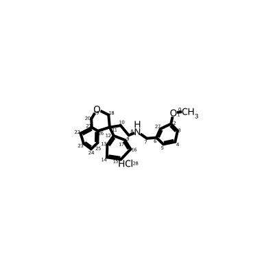 COc1cccc(CNCCC2(c3ccccc3)COCc3ccccc32)c1.Cl